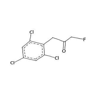 O=C(CF)Cc1c(Cl)cc(Cl)cc1Cl